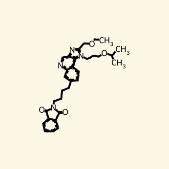 CCOCc1nc2cnc3cc(CCCCN4C(=O)c5ccccc5C4=O)ccc3c2n1CCCOC(C)C